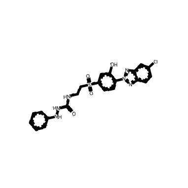 O=C(NCCS(=O)(=O)c1ccc(-n2nc3ccc(Cl)cc3n2)c(O)c1)NNc1ccccc1